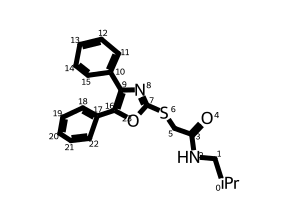 CC(C)CNC(=O)CSc1nc(-c2ccccc2)c(-c2ccccc2)o1